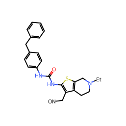 CCN1CCc2c(sc(NC(=O)Nc3ccc(Cc4ccccc4)cc3)c2CN=O)C1